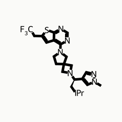 CC(C)C[C@H](c1cnn(C)c1)N1CC2(CCN(c3ncnc4sc(CC(F)(F)F)cc34)C2)C1